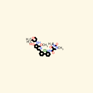 COc1nc(-c2cccc(-c3cccc(NC(=O)c4cn(C)c(=O)n(C)c4=O)c3Cl)c2Cl)cc2c1C(NC1CCOC(C)(C)C1)C(O)C2